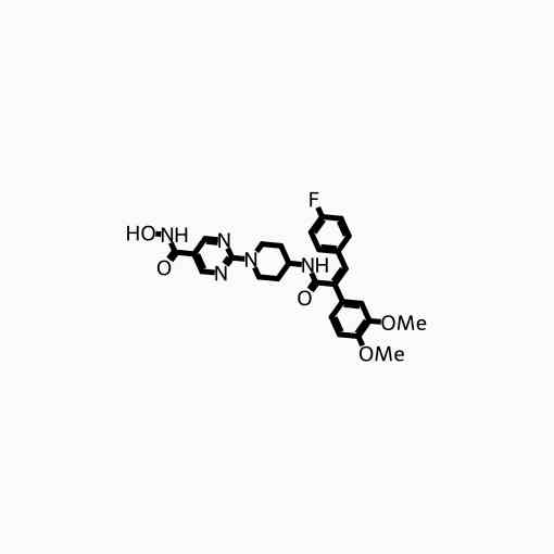 COc1ccc(C(=Cc2ccc(F)cc2)C(=O)NC2CCN(c3ncc(C(=O)NO)cn3)CC2)cc1OC